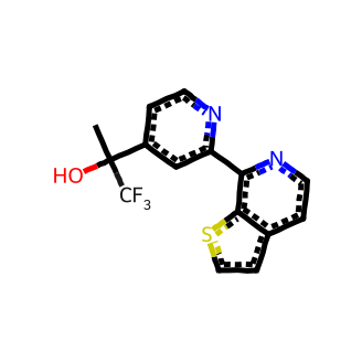 CC(O)(c1ccnc(-c2nccc3ccsc23)c1)C(F)(F)F